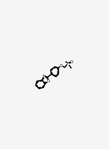 CP(C)(=O)COc1ccc(-c2nc3ccccc3o2)cc1